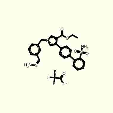 CCOC(=O)c1cn(Cc2cccc(/C=N\N)c2)cc1-c1ccc(-c2ccccc2S(N)(=O)=O)cc1.O=C(O)C(F)(F)F